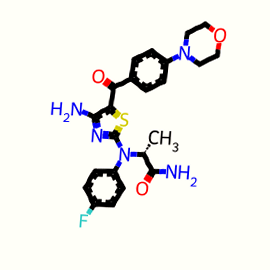 C[C@H](C(N)=O)N(c1ccc(F)cc1)c1nc(N)c(C(=O)c2ccc(N3CCOCC3)cc2)s1